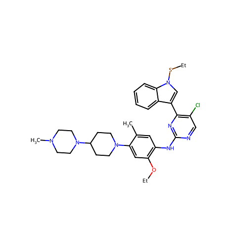 CCOc1cc(N2CCC(N3CCN(C)CC3)CC2)c(C)cc1Nc1ncc(Cl)c(-c2cn(SCC)c3ccccc23)n1